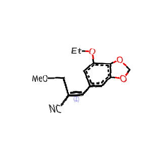 CCOc1cc(/C=C(/C#N)COC)cc2c1OCO2